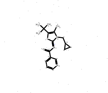 Cc1c(C(C)(C)C)s/c(=N\C(=O)c2cccnc2)n1CC1CC1